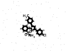 Cc1ccc(-c2cc(-c3ccc(Cl)cc3)nn2-c2ccccc2S(N)(=O)=O)cc1